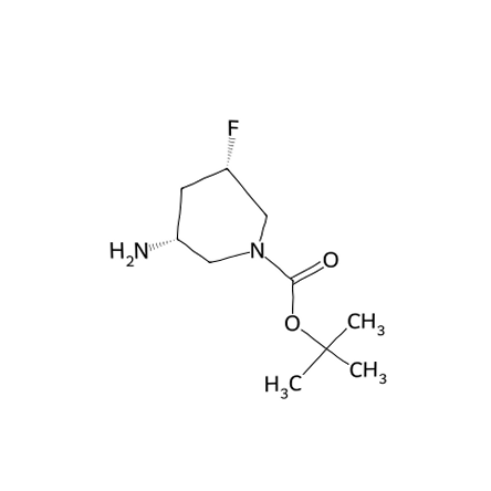 CC(C)(C)OC(=O)N1C[C@H](N)C[C@H](F)C1